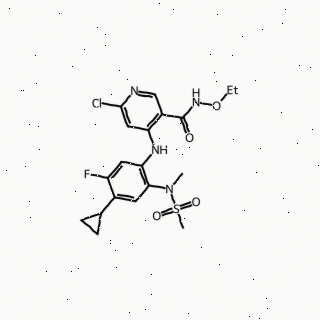 CCONC(=O)c1cnc(Cl)cc1Nc1cc(F)c(C2CC2)cc1N(C)S(C)(=O)=O